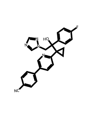 N#Cc1ccc(-c2ccc(C3(C(O)(Cn4cncn4)c4ccc(F)cc4)CC3)nc2)cc1